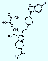 CC(=O)N1CCc2c(sc(CCN3CCC(c4coc5cc(F)ccc45)CC3)c2C(C)O)C1.O=C(O)C(=O)O